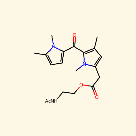 CC(=O)NCCOC(=O)Cc1cc(C)c(C(=O)c2ccc(C)n2C)n1C